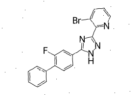 Fc1cc(-c2nc(-c3ncccc3Br)n[nH]2)ccc1-c1ccccc1